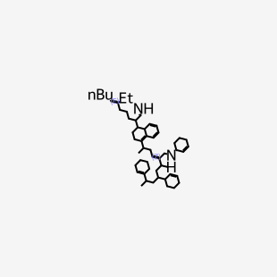 CCCC/C=C(\CC)CCCC(C=N)C1CCC(C(C)C/C=C(\CNC2C=CCCC2)C(C)CC(CC(C)C2=CCCCC2)C2C=CCCC2)=C2C=CC=CC21